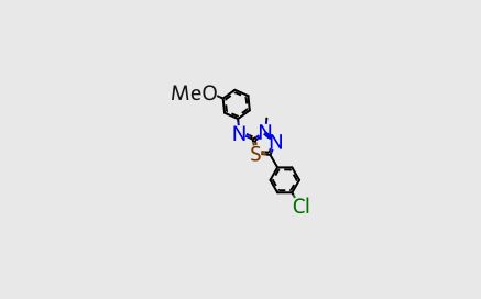 COc1cccc(/N=c2/sc(-c3ccc(Cl)cc3)nn2C)c1